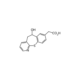 O=C(O)Cc1ccc2c(c1)C(O)Cc1cccnc1S2